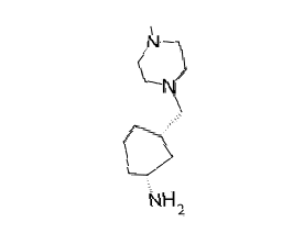 CN1CCN(C[C@H]2CCC[C@@H](N)C2)CC1